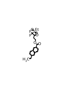 C=Cc1ccc2cc(C(=O)OCCC(=O)C(F)(F)S(=O)(=O)CC)ccc2c1